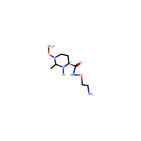 CCN1C(C)N(OS(=O)(=O)O)CC[C@H]1C(=O)NOCCN